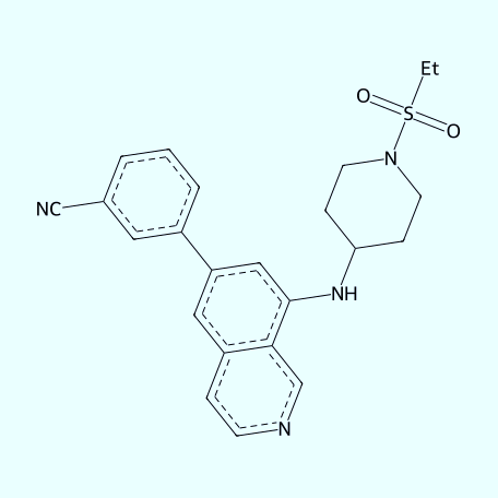 CCS(=O)(=O)N1CCC(Nc2cc(-c3cccc(C#N)c3)cc3ccncc23)CC1